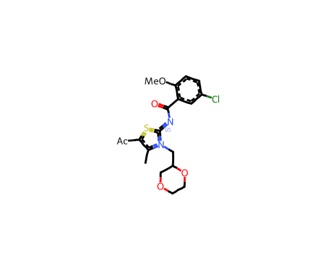 COc1ccc(Cl)cc1C(=O)/N=c1\sc(C(C)=O)c(C)n1CC1COCCO1